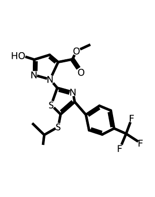 COC(=O)c1cc(O)nn1-c1nc(-c2ccc(C(F)(F)F)cc2)c(SC(C)C)s1